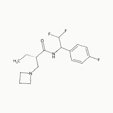 CC[C@@H](CN1CCC1)C(=O)NC(c1ccc(F)cc1)C(F)F